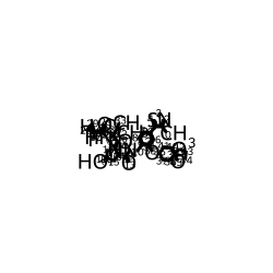 Cc1ncsc1-c1ccc(CNC(=O)[C@@H]2C[C@@H](O)CN2C(=O)[C@@H](NC(=O)C2(F)CC2)C(C)(C)C)c(OC2CCC3(CC2)OCCO3)c1